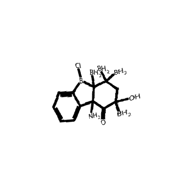 BC1(O)CC(B)(B)C2(B)B(Cl)c3ccccc3C2(N)C1=O